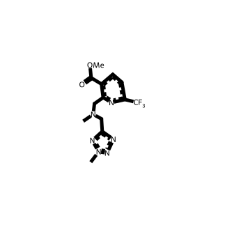 COC(=O)c1ccc(C(F)(F)F)nc1CN(C)Cc1nnn(C)n1